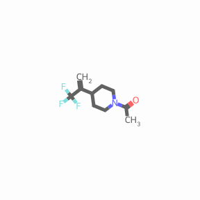 C=C(C1CCN(C(C)=O)CC1)C(F)(F)F